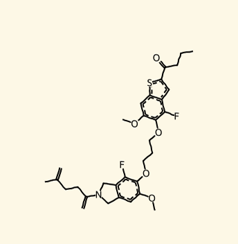 C=C(C)CCC(=C)N1Cc2cc(OC)c(OCCCOc3c(OC)cc4sc(C(=O)CCC)cc4c3F)c(F)c2C1